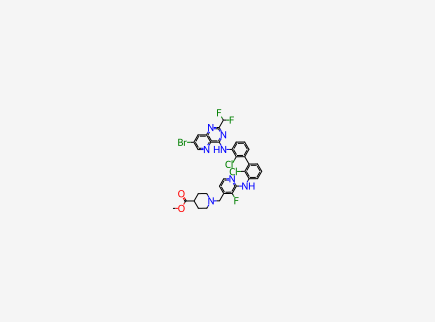 COC(=O)C1CCN(Cc2ccnc(Nc3cccc(-c4cccc(Nc5nc(C(F)F)nc6cc(Br)cnc56)c4Cl)c3Cl)c2F)CC1